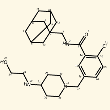 O=C(NCC12CC3CC(CC(C3)C1)C2)c1cc(CN2CCC(NCCO)CC2)ccc1Cl